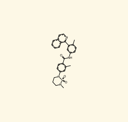 Cc1cc(N2CCCN(C)S2(=O)=O)ccc1C(=O)Nc1ccc(C)c(-c2nccc3ccccc23)c1